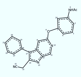 CC(=O)Nc1cccc(Oc2cc3c(cn2)nc(CC#N)n3-c2ccccc2)c1